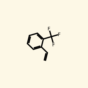 C=Cc1ccccc1C(F)(F)F